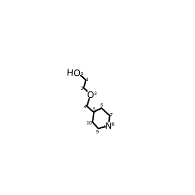 OCCOCC1CC[N]CC1